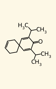 CC(C)C1=CC2(C=C(C(C)C)C1=O)CC=CCC2